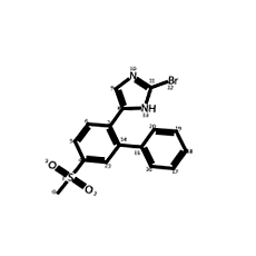 CS(=O)(=O)c1ccc(-c2cnc(Br)[nH]2)c(-c2ccccc2)c1